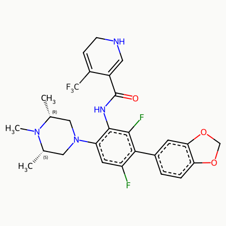 C[C@@H]1CN(c2cc(F)c(-c3ccc4c(c3)OCO4)c(F)c2NC(=O)C2=CNCC=C2C(F)(F)F)C[C@H](C)N1C